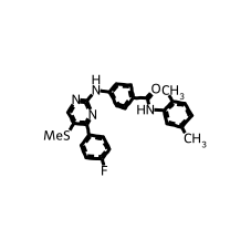 CSc1cnc(Nc2ccc(C(=O)Nc3cc(C)ccc3C)cc2)nc1-c1ccc(F)cc1